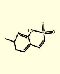 CC1C=C2NS(=O)(=O)C=CC2=CC1